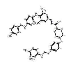 Cc1cc(/C=C/C(=O)N2CCN(Cc3ccc(CCOc4ccc(F)cc4)cc3)CC2)cc(Cl)c1Oc1ccc(OCc2ccc(Cl)cc2)cn1.Cl